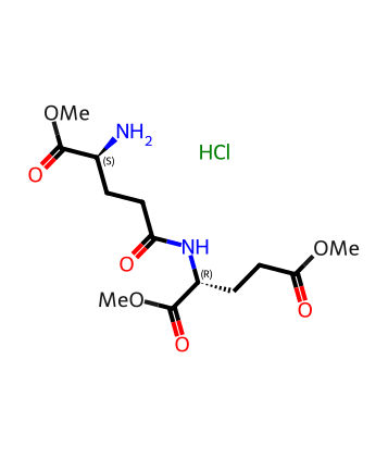 COC(=O)CC[C@@H](NC(=O)CC[C@H](N)C(=O)OC)C(=O)OC.Cl